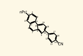 CCCc1ccc2c(ccc3cc(-c4ccc(C#N)cc4)ccc32)c1